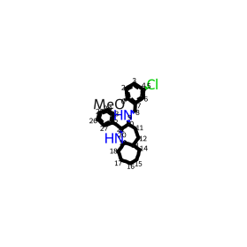 COc1ccc(Cl)cc1CNC1CCC2CCCCCC2NC1c1ccccc1